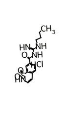 CCCCNC(=N)NC(=O)c1ccc2c(c1)S(=O)(=O)NC=C2.Cl